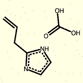 C=CCc1ncc[nH]1.O=C(O)O